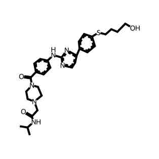 CC(C)NC(=O)CN1CCN(C(=O)c2ccc(Nc3nccc(-c4ccc(SCCCCO)cc4)n3)cc2)CC1